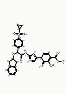 COC(=O)C1=C(C)C(=O)C(c2cnc(NC(=O)C(OC3Cc4ccccc4C3)c3ccc(S(=O)(=O)C4CC4)cc3)s2)C=C1